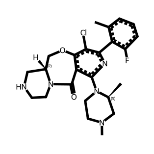 Cc1cccc(F)c1-c1nc(N2CCN(C)C[C@@H]2C)c2c(c1Cl)OC[C@H]1CNCCN1C2=O